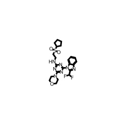 O=S(=O)(CCNc1nc(N2CCOCC2)nc(-n2c(C(F)F)nc3ccccc32)n1)C1CCCC1